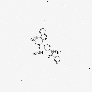 CN(C)c1ccncc1C(=O)Nc1ccc(C2NCC(=O)Nc3c2ccc2ccccc32)cc1.Cl.Cl